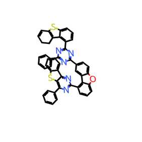 C1=Cc2sc3cccc(-c4nc(-c5ccccc5)nc(-c5ccc6oc7cccc(-c8nc(-c9ccccc9)c9sc%10ccccc%10c9n8)c7c6c5)n4)c3c2CC1